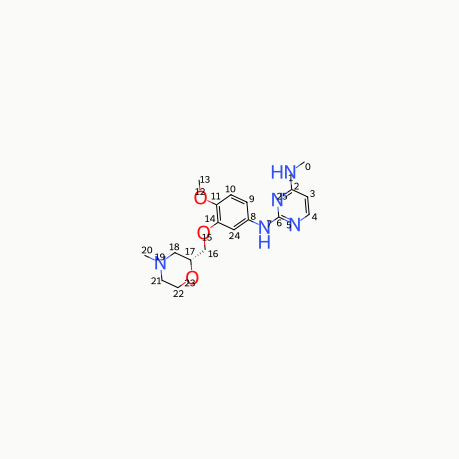 CNc1ccnc(Nc2ccc(OC)c(OC[C@H]3CN(C)CCO3)c2)n1